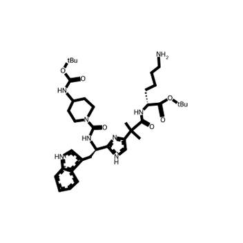 CC(C)(C)OC(=O)NC1CCN(C(=O)N[C@H](Cc2c[nH]c3ccccc23)c2nc(C(C)(C)C(=O)N[C@H](CCCCN)C(=O)OC(C)(C)C)c[nH]2)CC1